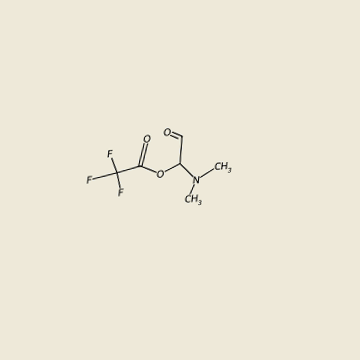 CN(C)C(C=O)OC(=O)C(F)(F)F